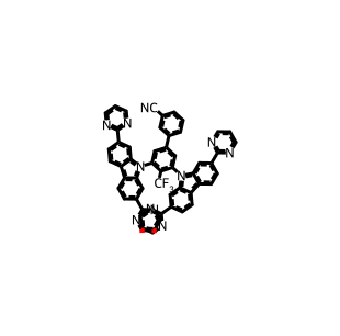 N#Cc1cccc(-c2cc(-n3c4cc(-c5ncccn5)ccc4c4ccc(-c5ncccn5)cc43)c(C(F)(F)F)c(-n3c4cc(-c5ncccn5)ccc4c4ccc(-c5ncccn5)cc43)c2)c1